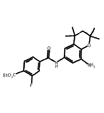 CCOC(=O)c1ccc(C(=O)Nc2cc(N)c3c(c2)C(C)(C)CC(C)(C)O3)cc1F